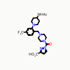 CC(=O)NC1CCN(c2cc(C(F)(F)F)ccc2CN2CCN(C(=O)n3ccc(C(=O)O)n3)CC2)CC1